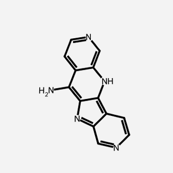 Nc1c2nc3cnccc3c-2[nH]c2cnccc12